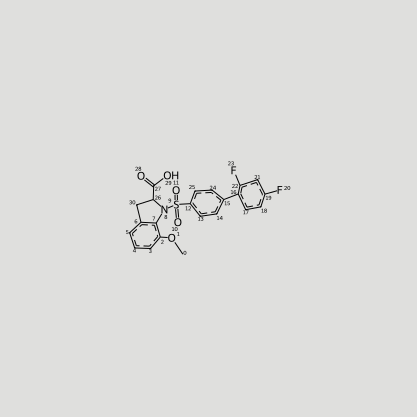 COc1cccc2c1N(S(=O)(=O)c1ccc(-c3ccc(F)cc3F)cc1)C(C(=O)O)C2